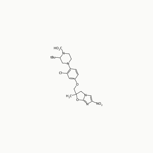 CC1(COc2ccc(N3CCN(C(=O)O)C(C(C)(C)C)C3)c(Cl)c2)Cn2cc([N+](=O)[O-])nc2O1